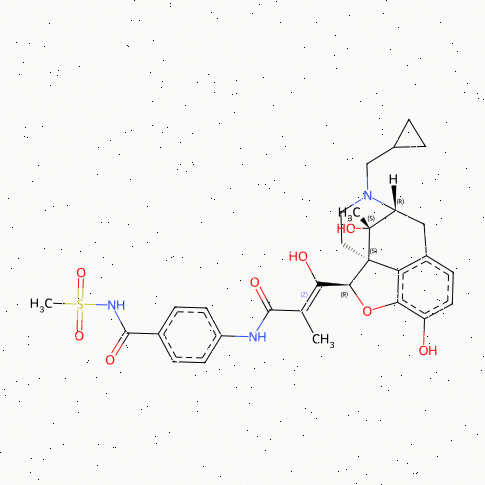 C/C(C(=O)Nc1ccc(C(=O)NS(C)(=O)=O)cc1)=C(/O)[C@@H]1Oc2c(O)ccc3c2[C@@]12CCN(CC1CC1)[C@H](C3)[C@@]2(C)O